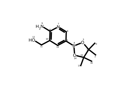 CC1(C)OB(c2cnc(N)c(CO)c2)OC1(C)C